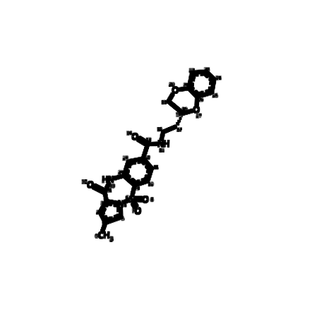 Cc1cc2n(c1)S(=O)(=O)c1ccc(C(=O)NCC[C@@H]3COc4ccccc4O3)cc1NC2=O